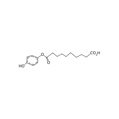 O=C(O)CCCCCCCCC(=O)Oc1ccc(O)cc1